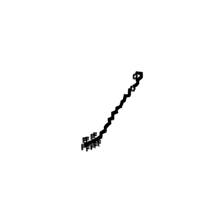 FC(F)(F)C(F)(F)C(F)(F)C(F)(F)CCCCCCCCCCCCCCCCOCCC1CCCO1